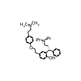 CC(C)N(CC[C@H](c1ccccc1)c1cc(CCOc2ccc(CCN(C)C)cc2)ccc1O)C(C)C